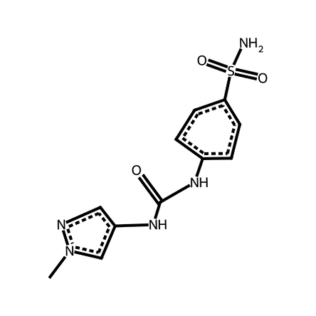 Cn1cc(NC(=O)Nc2ccc(S(N)(=O)=O)cc2)cn1